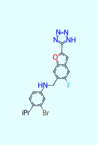 CC(C)c1ccc(NCc2cc3oc(-c4nnn[nH]4)cc3cc2F)cc1Br